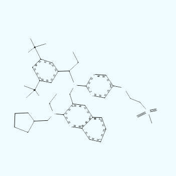 CCC(c1cc(C(F)(F)F)cc(C(F)(F)F)c1)N(Cc1cc2ccccc2nc1N(CC)CC1CCCC1)c1ncc(OCCS(C)(=O)=O)cn1